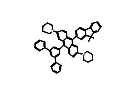 CC1(C)c2ccccc2-c2ccc(-c3c4ccc(N5CCCCC5)cc4c(-c4cc(-c5ccccc5)cc(-c5ccccc5)c4)c4ccc(N5CCCCC5)cc34)cc21